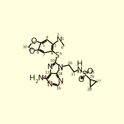 CN(C)c1cc2c(cc1Sc1nc3c(N)ncnc3n1CCNS(=O)(=O)C1CC1)OCO2